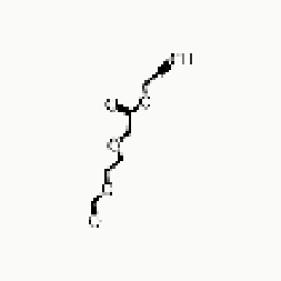 C#CCOC(=O)COCCOC=O